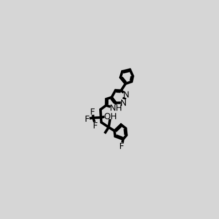 CC(C)(CC(O)(Cc1cc2cc(-c3ccccc3)nnc2[nH]1)C(F)(F)F)c1cccc(F)c1